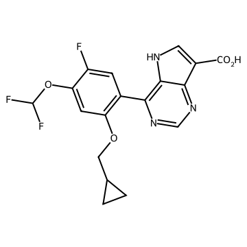 O=C(O)c1c[nH]c2c(-c3cc(F)c(OC(F)F)cc3OCC3CC3)ncnc12